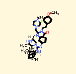 COc1ccc(CCn2c(CN3CCN(C)CC3)nc3cc(N=C(N[C@H]4C[C@@H]5C[C@@H]([C@H]4C)C5(C)C)N4C[C@@H](C)N[C@@H](C)C4)ccc3c2=O)c(F)c1